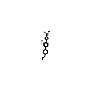 CCCC1CCC(c2ccc(C3CC(=C(F)F)C3)c(F)c2)CC1